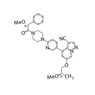 CO[C@H](C)COc1cc(-c2ccc(N3CCN(C(=O)[C@H](OC)c4ccccc4)CC3)nc2)c2c(C#N)cnn2c1